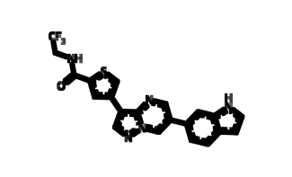 O=C(NCC(F)(F)F)c1cc(-c2cnn3cc(-c4ccc5cc[nH]c5c4)cnc23)cs1